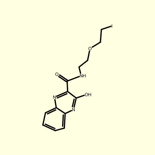 O=C(NCCOCCI)c1nc2ccccc2nc1O